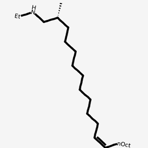 CCCCCCCC/C=C\CCCCCCCCC[C@@H](C)CNCC